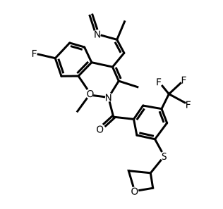 C=N/C(C)=C\C(=C(/C)N(C)C(=O)c1cc(SC2COC2)cc(C(F)(F)F)c1)c1ccc(F)cc1OC